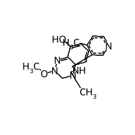 CON1CN2C(C)NC(c3cnccc3C)C23C=CC=C(O)C3=N1